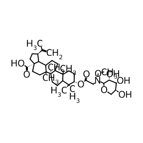 C=C(C)[C@@H]1CC[C@]2(C(=O)O)CC[C@]3(C)C(CCC4[C@@]5(C)CC[C@H](OC(=O)CN(OC)C6OC[C@H](O)[C@H](O)[C@H]6O)C(C)(C)C5CC[C@]43C)C12